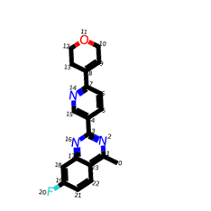 Cc1nc(-c2ccc(C3=CCOCC3)nc2)nc2cc(F)ccc12